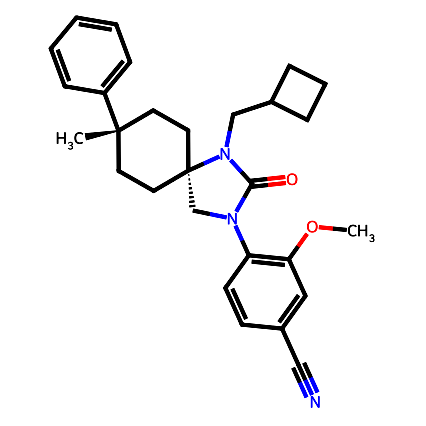 COc1cc(C#N)ccc1N1C[C@]2(CC[C@@](C)(c3ccccc3)CC2)N(CC2CCC2)C1=O